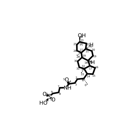 C[C@H](CCC(=O)NCCCS(=O)(=O)O)C1CCC2[C@@H]3CC[C@@H]4C[C@H](O)CC[C@]4(C)C3CC[C@@]21C